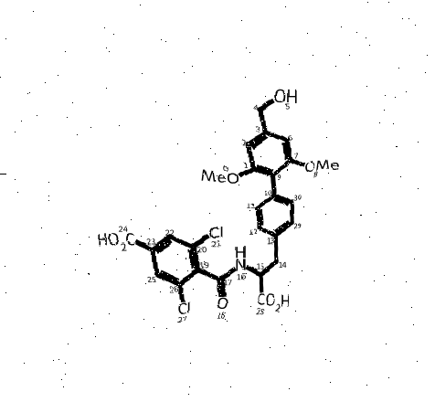 COc1cc(CO)cc(OC)c1-c1ccc(CC(NC(=O)c2c(Cl)cc(C(=O)O)cc2Cl)C(=O)O)cc1